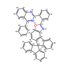 c1ccc(-c2nc(-c3ccccc3-c3nc4c5c(ccc4o3)C3(c4ccccc4-c4ccccc43)c3ccccc3-5)nc3ccccc23)cc1